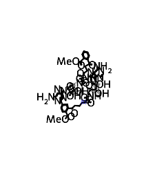 COC(=O)c1ccc(-c2nc(N)c3ncn([C@@H]4O[C@H](CNS(=O)(=O)NC(=O)CCC(=O)c5ccccc5C(=O)OC)[C@@H](O)[C@H]4O)c3n2)cc1C(=O)CC/C=C/S(=O)(=O)NC[C@H]1O[C@@H](n2cnc3c(N)ncnc32)[C@H](O)[C@@H]1O